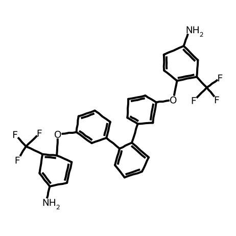 Nc1ccc(Oc2cccc(-c3ccccc3-c3cccc(Oc4ccc(N)cc4C(F)(F)F)c3)c2)c(C(F)(F)F)c1